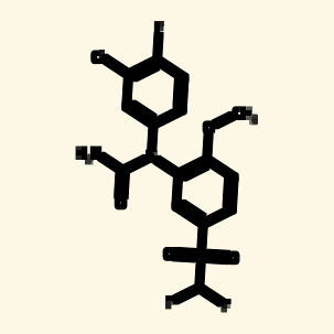 COc1ccc(S(=O)(=O)C(F)F)cc1N(C(N)=O)c1ccc(F)c(Cl)c1